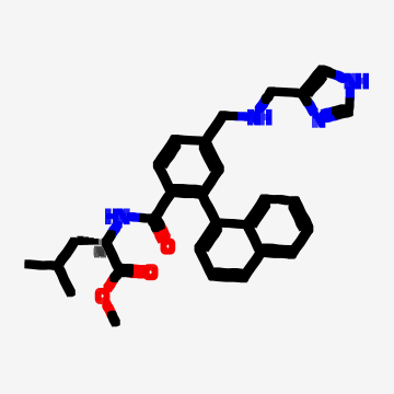 COC(=O)[C@H](CC(C)C)NC(=O)c1ccc(CNCc2c[nH]cn2)cc1-c1cccc2ccccc12